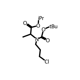 CC(C)OC(=O)C(C)N(CCCCl)C(=O)OC(C)(C)C